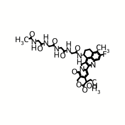 CC[C@@]1(O)C(=O)OCc2c1cc1n(c2=O)Cc2c-1nc1cc(F)c(C)c3c1c2[C@@H](NC(=O)CNC(=O)CNC(=O)CNC(=O)CNC(C)=O)CC3